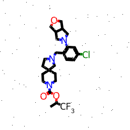 CC(OC(=O)N1CCC2(CCN(Cc3ccc(Cl)cc3N3CC4COCC4C3)C2)CC1)C(F)(F)F